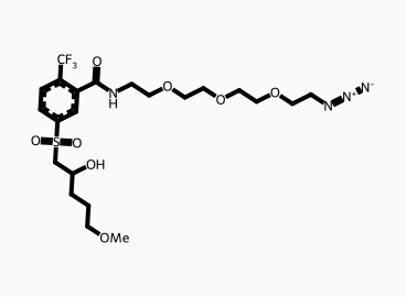 COCCCC(O)CS(=O)(=O)c1ccc(C(F)(F)F)c(C(=O)NCCOCCOCCOCCN=[N+]=[N-])c1